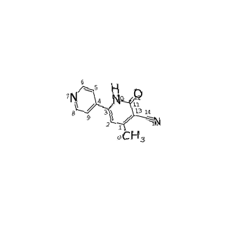 Cc1cc(-c2ccncc2)[nH]c(=O)c1C#N